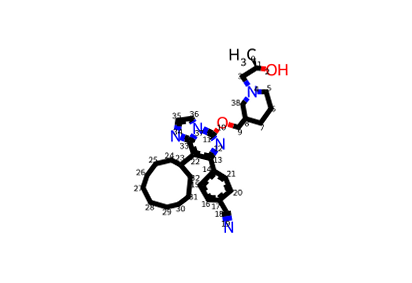 C[C@@H](O)CN1CCCC(COc2nc(-c3ccc(C#N)cc3)c(C3CCCCCCCCC3)c3nccn23)C1